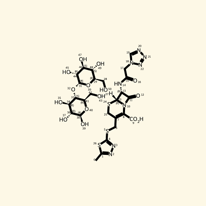 Cc1nnc(SCC2=C(C(=O)O)N3C(=O)[C@@H](NC(=O)Cn4cnnn4)[C@H]3SC2)s1.OC[C@H]1O[C@H](O[C@H]2[C@H](O)[C@@H](O)[C@H](O)O[C@@H]2CO)[C@H](O)[C@@H](O)[C@@H]1O